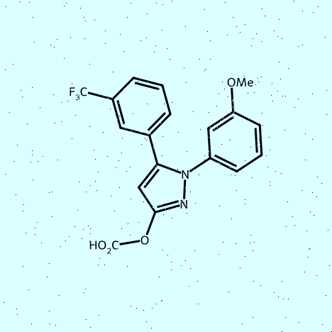 COc1cccc(-n2nc(OC(=O)O)cc2-c2cccc(C(F)(F)F)c2)c1